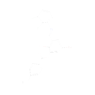 Cc1ccc(C(=O)Oc2cc(Br)cc(C=Nc3cccc(Cl)c3Cl)c2O)cc1